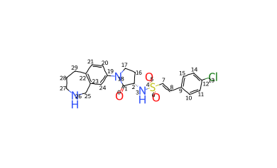 O=C1[C@@H](NS(=O)(=O)/C=C/c2ccc(Cl)cc2)CCN1c1ccc2c(c1)CNCCC2